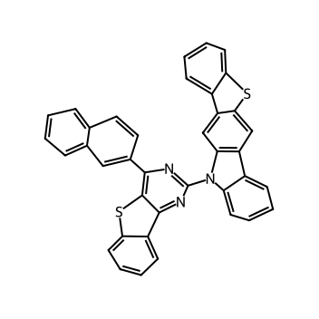 c1ccc2cc(-c3nc(-n4c5ccccc5c5cc6sc7ccccc7c6cc54)nc4c3sc3ccccc34)ccc2c1